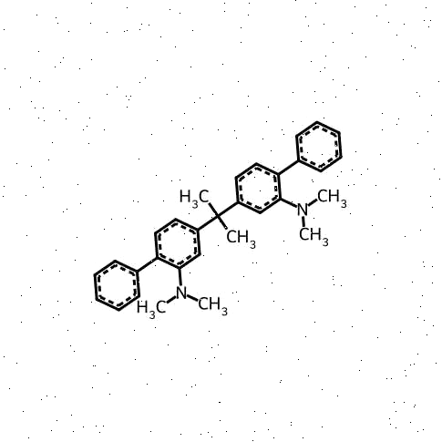 CN(C)c1cc(C(C)(C)c2ccc(-c3ccccc3)c(N(C)C)c2)ccc1-c1ccccc1